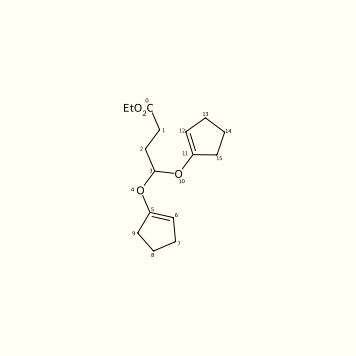 CCOC(=O)CCC(OC1=CCCC1)OC1=CCCC1